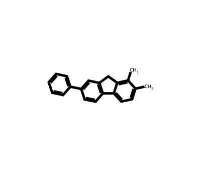 Cc1ccc2c(c1C)Cc1cc(-c3ccccc3)ccc1-2